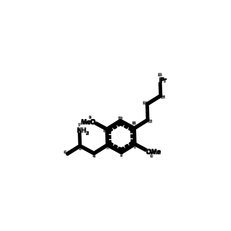 COc1cc(CC(C)N)c(OC)cc1CCCC(C)C